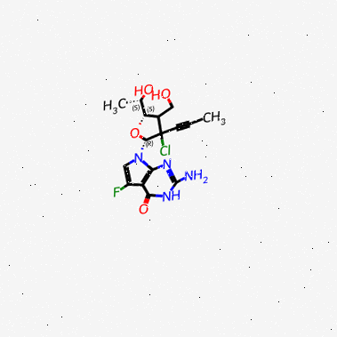 CC#CC1(Cl)C(CO)[C@@H]([C@H](C)O)O[C@H]1n1cc(F)c2c(=O)[nH]c(N)nc21